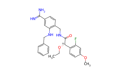 CCO[C@H](C(=O)NCc1ccc(C(=N)N)cc1NCc1ccccc1)c1ccc(OC)cc1F